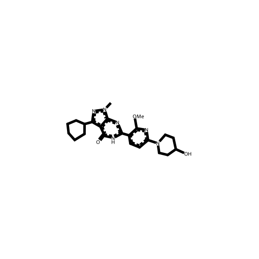 COc1nc(N2CCC(O)CC2)ccc1-c1nc2c(c(C3CCCCC3)nn2C)c(=O)[nH]1